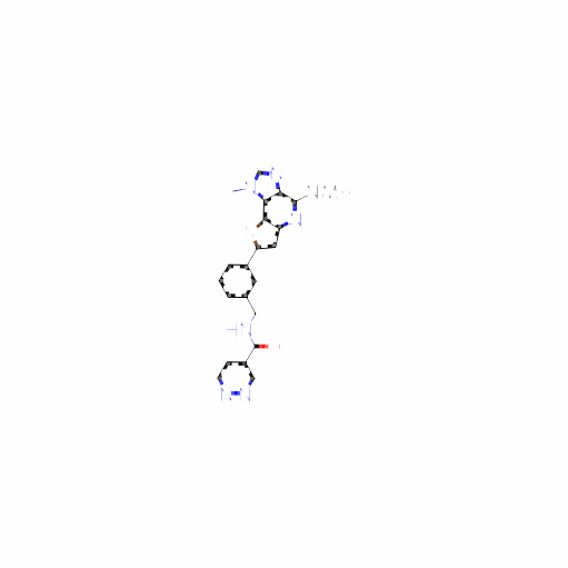 CNc1nc2cc(-c3cccc(CNC(=O)c4ccnnc4)c3)sc2c2c1ncn2C